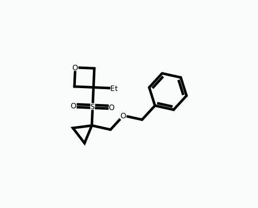 CCC1(S(=O)(=O)C2(COCc3ccccc3)CC2)COC1